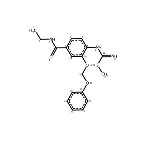 CCNC(=O)c1ccc(NC(=N)SC)c(OCOc2ccccc2)c1